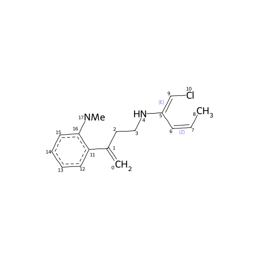 C=C(CCNC(/C=C\C)=C/Cl)c1ccccc1NC